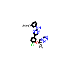 COc1cccc(Nc2ncc(-c3ccc(Cl)c(O[C@@H](C)Cn4cnnn4)c3)cn2)c1